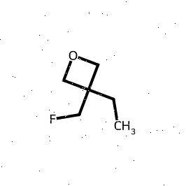 CCC1(CF)COC1